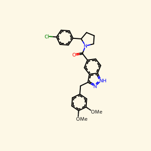 COc1ccc(Cc2n[nH]c3ccc(C(=O)N4CCCC4c4ccc(Cl)cc4)cc23)cc1OC